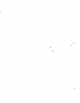 CCCCCCCCCCCCCCCCCCn1cc[n+](CCCCCCCCCCCCCC)c1CCCCCCC